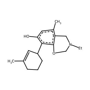 CCN1COc2c(c(C)cc(O)c2C2C=C(C)CCC2)C1